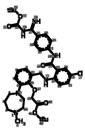 CN1CCCN(c2cccc(CNc3ccc(Cl)cc3C(=O)Nc3ccc(C(=N)NC(=O)OC(C)(C)C)cc3)c2OCC(=O)OC(C)(C)C)CC1